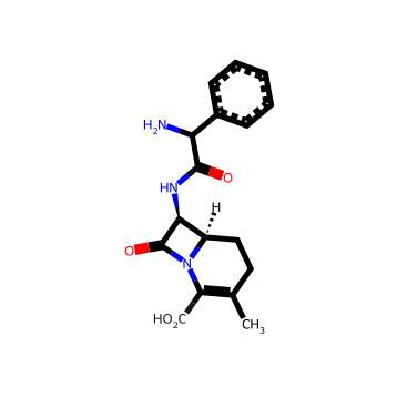 CC1=C(C(=O)O)N2C(=O)[C@@H](NC(=O)C(N)c3ccccc3)[C@H]2CC1